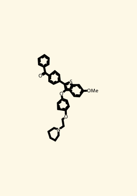 COc1ccc2c(Oc3ccc(OCCN4CCCCC4)cc3)c(-c3ccc(C(=O)c4ccccc4)cc3)sc2c1